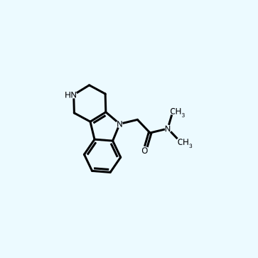 CN(C)C(=O)Cn1c2c(c3ccccc31)CNCC2